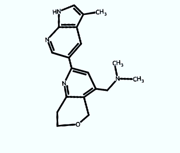 Cc1c[nH]c2ncc(-c3cc(CN(C)C)c4c(n3)CCOC4)cc12